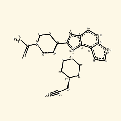 CC(=O)N1CCC(c2nc3cnc4[nH]ccc4c3n2[C@H]2CC[C@H](CC#N)CC2)CC1